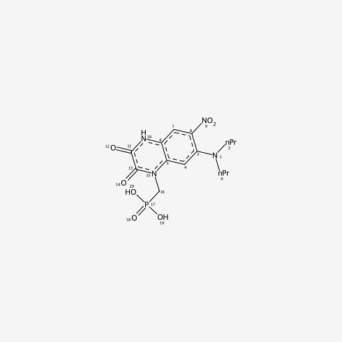 CCCN(CCC)c1cc2c(cc1[N+](=O)[O-])[nH]c(=O)c(=O)n2CP(=O)(O)O